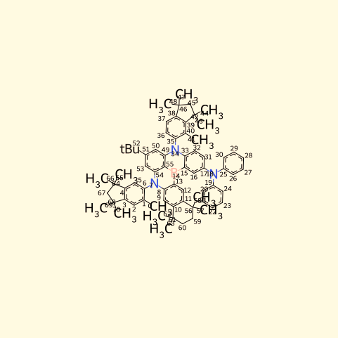 Cc1cc2c(cc1N1c3cc4c(cc3B3c5cc(N(c6ccccc6)c6ccccc6)ccc5N(c5ccc6c(c5C)C(C)(C)CC6(C)C)c5cc(C(C)(C)C)cc1c53)C(C)(C)CCC4(C)C)C(C)(C)CC2(C)C